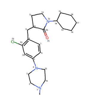 CN1CCN(c2ccc(CC3CCN(C4CCCCC4)C3=O)c(Cl)c2)CC1